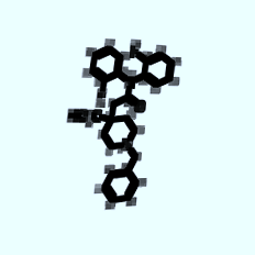 O=C(CC1(C(=O)O)CCN(Cc2ccccc2)CC1)N(c1ccccc1F)c1ccccc1F